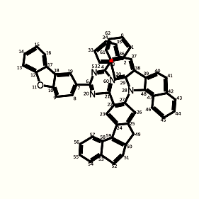 c1ccc(-c2nc(-c3ccc4oc5ccccc5c4c3)nc(-c3cc4c(cc3-n3c5cc6ccccc6cc5c5ccc6ccccc6c53)Cc3ccc5ccccc5c3-4)n2)cc1